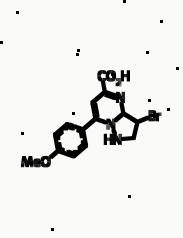 COc1ccc(C2=CC(C(=O)O)=NC3C(Br)CNN23)cc1